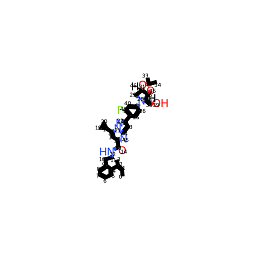 C/C=C(/C)c1ccccc1CCNC(=O)c1cc(C2CC2)n2nc(-c3ccc(N4C[C@@H]5OC(C)(C)O[C@@H]5/C4=C\O)cc3F)cc2n1